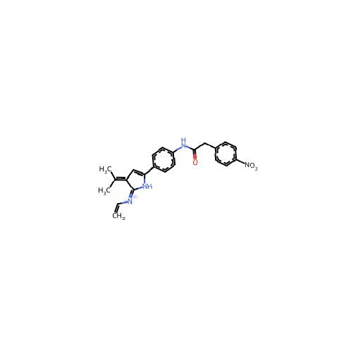 C=C/N=C1/NC(c2ccc(NC(=O)Cc3ccc([N+](=O)[O-])cc3)cc2)=CC1=C(C)C